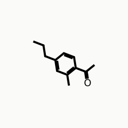 CCCc1ccc(C(C)=O)c(C)c1